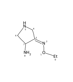 CCON=C1CNCC1N